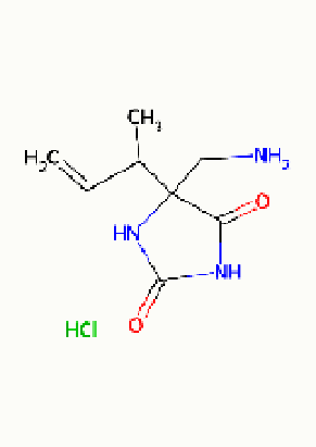 C=CC(C)C1(CN)NC(=O)NC1=O.Cl